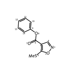 CSc1oncc1C(=O)Oc1ccccc1